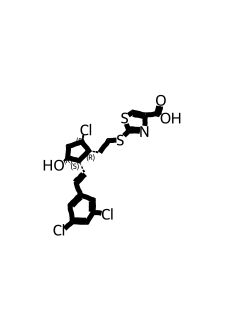 O=C(O)c1csc(SCC[C@@H]2[C@H](C=Cc3cc(Cl)cc(Cl)c3)[C@H](O)C[C@@H]2Cl)n1